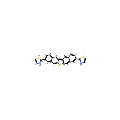 c1csc(-c2ccc3cc4c(cc3c2)sc2cc3cc(-c5nccs5)ccc3cc24)n1